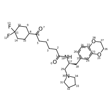 O=C(CCCCC(=O)C1CCC(F)(F)CC1)N[C@@H](Cc1ccc2c(c1)OCCO2)CN1CCCC1